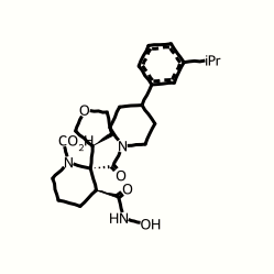 CC(C)c1cccc(C2CCN(C(=O)[C@]3([C@@H]4CCOC4)[C@@H](C(=O)NO)CCCN3C(=O)O)CC2)c1